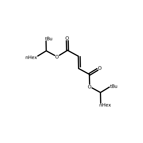 CCCCCCC(OC(=O)C=CC(=O)OC(CCCCCC)C(C)(C)C)C(C)(C)C